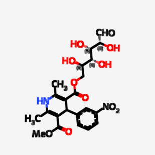 COC(=O)C1=C(C)NC(C)=C(C(=O)OC[C@@H](O)[C@@H](O)[C@H](O)[C@@H](O)C=O)C1c1cccc([N+](=O)[O-])c1